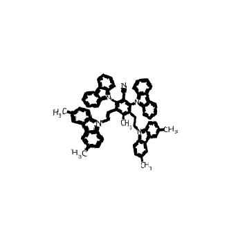 Cc1ccc2c(c1)c1cc(C)ccc1n2CCc1c(C)c(CCn2c3ccc(C)cc3c3cc(C)ccc32)c(-n2c3ccccc3c3ccccc32)c(C#N)c1-n1c2ccccc2c2ccccc21